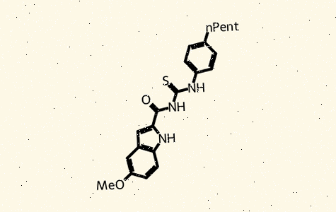 CCCCCc1ccc(NC(=S)NC(=O)c2cc3cc(OC)ccc3[nH]2)cc1